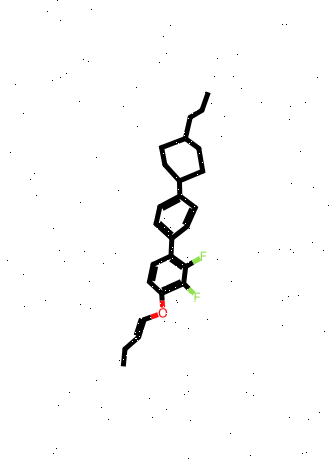 CC/C=C/Oc1ccc(-c2ccc(C3CCC(CCC)CC3)cc2)c(F)c1F